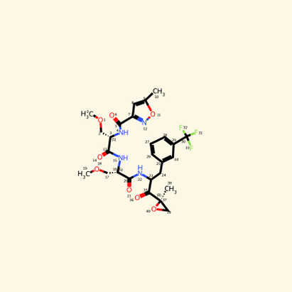 COC[C@H](NC(=O)c1cc(C)on1)C(=O)N[C@@H](COC)C(=O)NC(Cc1cccc(C(F)(F)F)c1)C(=O)[C@@]1(C)CO1